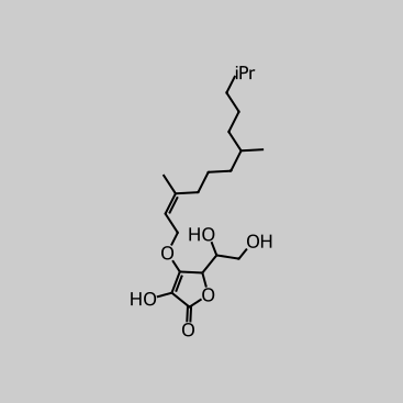 CC(=CCOC1=C(O)C(=O)OC1C(O)CO)CCCC(C)CCCC(C)C